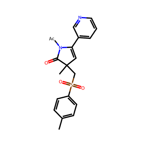 CC(=O)N1C(=O)C(C)(CS(=O)(=O)c2ccc(C)cc2)C=C1c1cccnc1